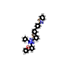 c1ccc(-c2nc(-c3cccc4c3oc3ccccc34)nc(-c3cccc4c3sc3ccc(-c5ccc(-c6nc7ccccc7s6)cc5)cc34)n2)cc1